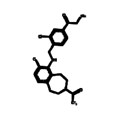 CC(C)(C)CC(=O)c1ccc(CNc2c(Cl)ccc3c2CCN(C(=O)C(F)(F)F)CC3)c(Cl)c1